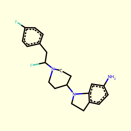 Nc1ccc2c(c1)N(C1CCN(C(F)Cc3ccc(F)cc3)CC1)CC2